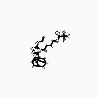 CCSc1nnc(C23CC4CC(CC(C4)C2)C3)n1CCCCOC(=O)C(F)(F)F